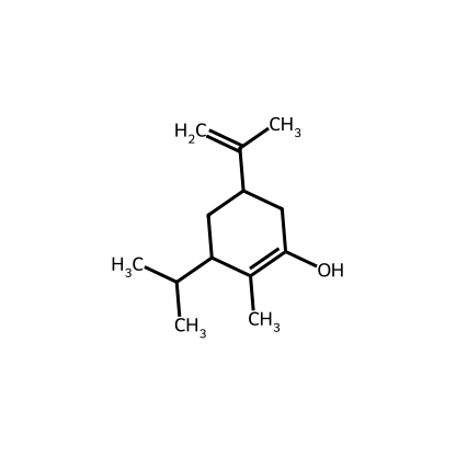 C=C(C)C1CC(O)=C(C)C(C(C)C)C1